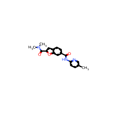 Cc1ccc(NC(=O)c2ccc3cc(C(=O)N(C)C)oc3c2)nc1